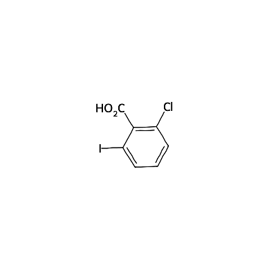 O=C(O)c1c(Cl)cccc1I